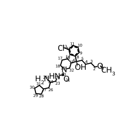 COCCCC[C@@](O)(c1cccc(Cl)c1)[C@@H]1CCCN(C(=O)NCC(N)CC2CCCC2)C1